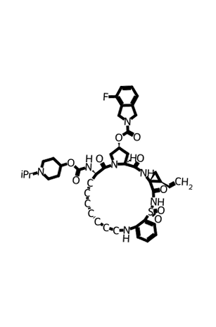 C=C[C@@H]1C[C@@]12NC(=O)[C@@H]1C[C@@H](OC(=O)N3Cc4cccc(F)c4C3)CN1C(=O)[C@@H](NC(=O)OC1CCN(C(C)C)CC1)CCCCCCCNc1ccccc1S(=O)(=O)NC2=O